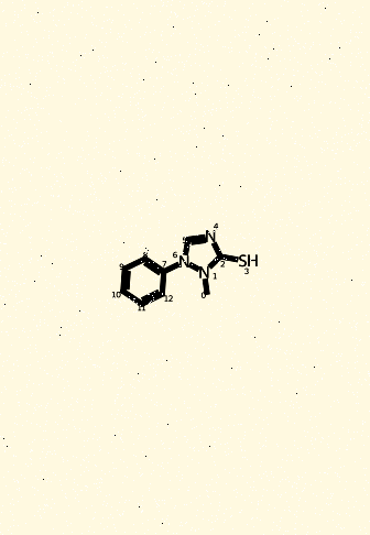 CN1C(S)N=CN1c1ccccc1